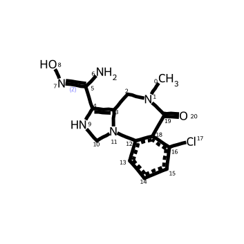 CN1CC2=C(/C(N)=N/O)NCN2c2cccc(Cl)c2C1=O